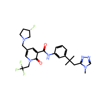 Cn1cnnc1CC(C)(C)c1cccc(NC(=O)c2cc(CN3CC[C@H](F)C3)cn(CC(F)(F)F)c2=O)c1